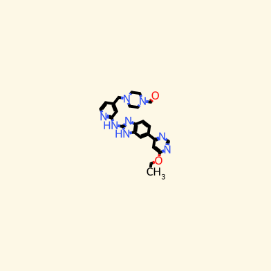 CCOc1cc(-c2ccc3nc(Nc4cc(CN5CCN(C=O)CC5)ccn4)[nH]c3c2)ncn1